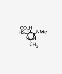 CNc1nc(C)nc(S)c1C(=O)O